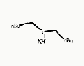 CCCCCPCCCCC.[KH]